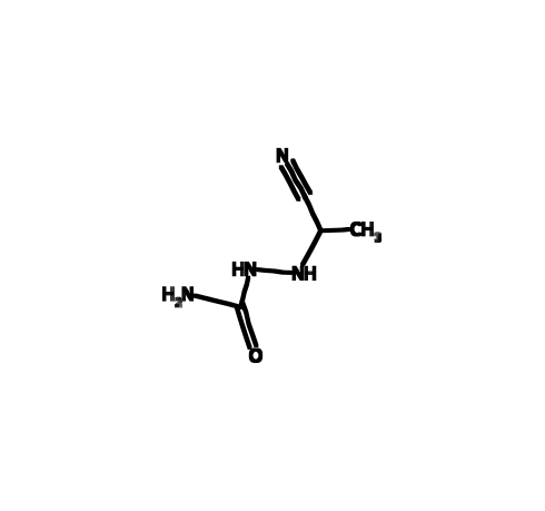 CC(C#N)NNC(N)=O